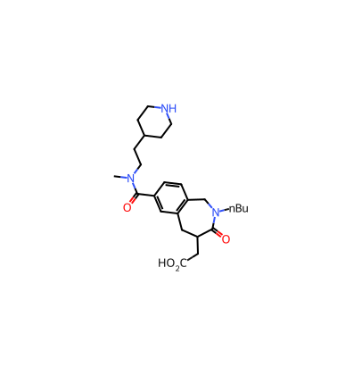 CCCCN1Cc2ccc(C(=O)N(C)CCC3CCNCC3)cc2CC(CC(=O)O)C1=O